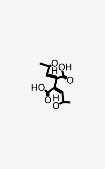 CC(O)C=C(C(=O)O)C(=CC(C)O)C(=O)O